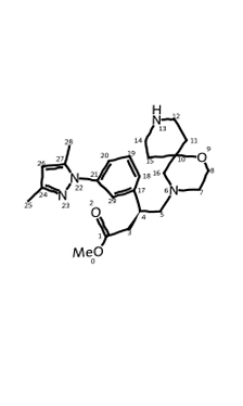 COC(=O)C[C@H](CN1CCOC2(CCNCC2)C1)c1cccc(-n2nc(C)cc2C)c1